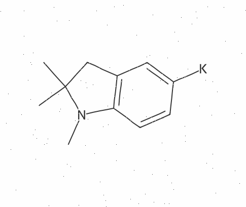 CN1c2cc[c]([K])cc2CC1(C)C